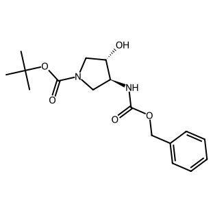 CC(C)(C)OC(=O)N1C[C@H](NC(=O)OCc2ccccc2)[C@@H](O)C1